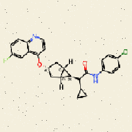 O=C(Nc1ccc(Cl)cc1)C(C1CC1)[C@H]1[C@@H]2C[C@H](Oc3ccnc4ccc(F)cc34)C[C@@H]21